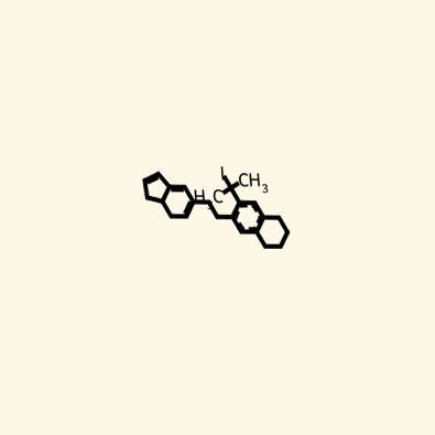 CC(C)(I)c1cc2c(cc1CCC1=CCC3CC=CC3=C1)CCCC2